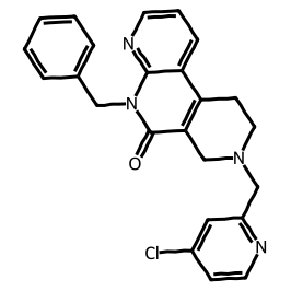 O=c1c2c(c3cccnc3n1Cc1ccccc1)CCN(Cc1cc(Cl)ccn1)C2